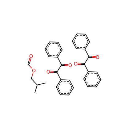 CC(C)COC=O.O=C(C(=O)c1ccccc1)c1ccccc1.O=C(C(=O)c1ccccc1)c1ccccc1